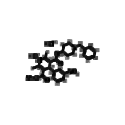 COC(=O)C1=C(C)N(O)C(C)=C(C(=O)OC2CCN(Cc3ccccc3)CC2)C1c1cccc([N+](=O)[O-])c1.Cl